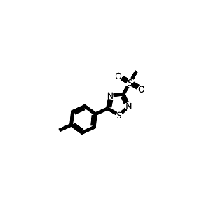 Cc1ccc(-c2nc(S(C)(=O)=O)ns2)cc1